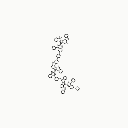 CC1Cc2c(c3c(n2-c2nc(-c4ccccc4)c4cc(-c5ccc(-c6ccc7c(c6)sc6ccc8c(c9c(n8-c8nc(-c%10cccc(CC%11(C)c%12ccccc%12-c%12c%11c%11ccc%13c%14ccccc%14sc%13c%11n%12C%11N=c%12ccc(-c%13ccccc%13)cc%12=C(c%12ccccc%12)N%11C)c%10)c%10ccccc%10n8)-c8ccccc8C9(C)C)c67)cc5)ccc4n2)-c2ccccc2C3(C)C)-c2c1sc1ccccc21